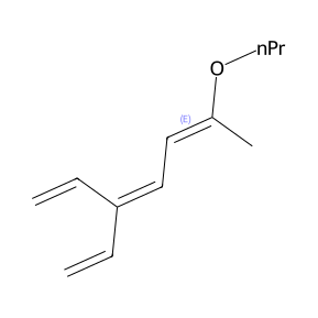 C=CC(C=C)=C/C=C(\C)OCCC